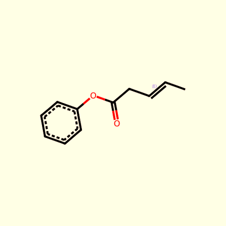 C/C=C/CC(=O)Oc1ccccc1